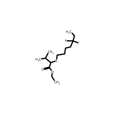 CCOC(=O)C(SCCCCC(F)(F)CC)C(C)C